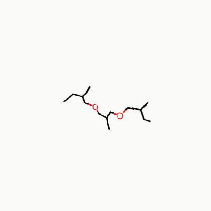 CCC(C)COCC(C)COCC(C)CC